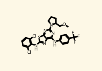 COCC1CCCN1c1nc(Nc2ccc(C(F)(F)F)cc2)c2nc(Nc3c(Cl)cccc3Cl)sc2n1